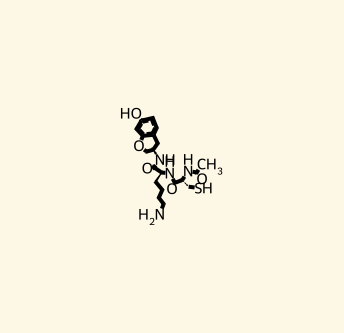 CC(=O)N[C@H](CS)C(=O)N[C@@H](CCCCN)C(=O)N[C@H]1COc2cc(O)ccc2C1